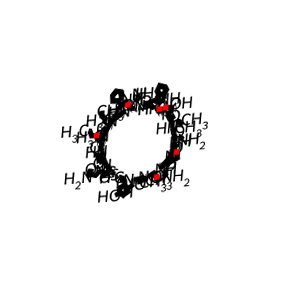 CCCCC[C@H]1C(=O)NC2(CC2)C(=O)N[C@H](C(=O)NCC(N)=O)CSCC(=O)N[C@@H](Cc2ccc(O)cc2)C(=O)N(C)[C@@H](C)C(=O)N[C@@H](CC(N)=O)C(=O)N2CCC[C@H]2C(=O)N[C@@H](CN)C(=O)N[C@@H](CC(C)C)C(=O)N2C[C@H](O)C[C@H]2C(=O)NC(Cc2c[nH]c3ccccc23)C(=O)N[C@@H](CCN)C(=O)N[C@@H](Cc2c[nH]c3ccccc23)C(=O)N(C)[C@@H](CCCC)C(=O)N1C